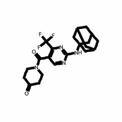 O=C1CCN(C(=O)c2cnc(NC34CC5CC(CC(C5)C3)C4)nc2C(F)(F)F)CC1